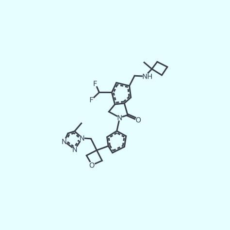 Cc1cnnn1CC1(c2cccc(N3Cc4c(cc(CNC5(C)CCC5)cc4C(F)F)C3=O)c2)COC1